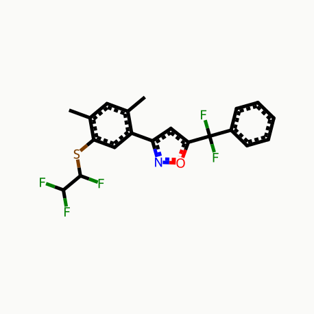 Cc1cc(C)c(-c2cc(C(F)(F)c3ccccc3)on2)cc1SC(F)C(F)F